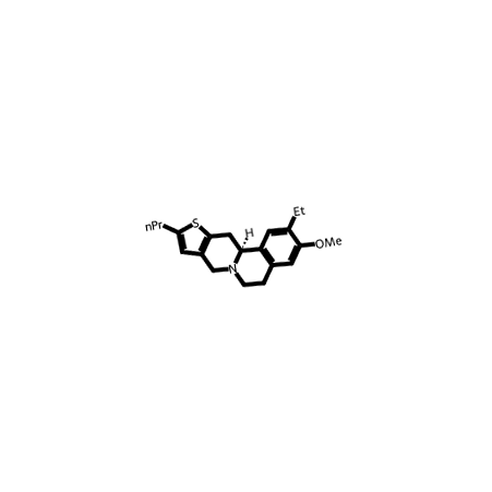 CCCc1cc2c(s1)C[C@H]1c3cc(CC)c(OC)cc3CCN1C2